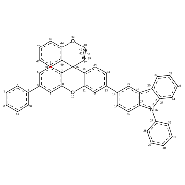 c1ccc(-c2ccc3c(c2)Oc2cc(-c4ccc5c(c4)c4ccccc4n5-c4ccccc4)ccc2C32c3ccccc3Oc3ccccc32)cc1